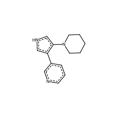 c1cncc(-c2c[nH]cc2N2CCCCC2)c1